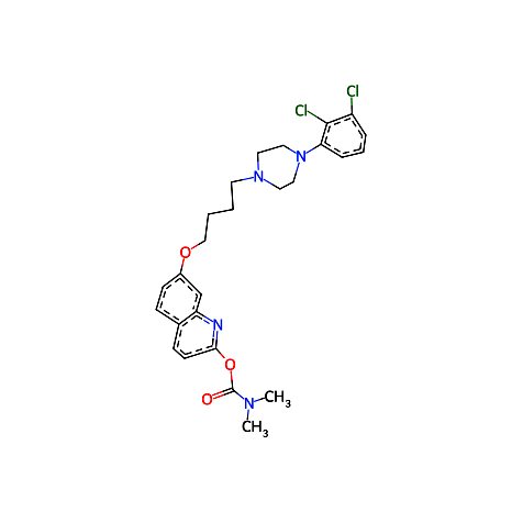 CN(C)C(=O)Oc1ccc2ccc(OCCCCN3CCN(c4cccc(Cl)c4Cl)CC3)cc2n1